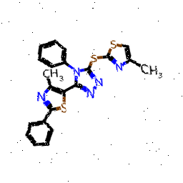 Cc1csc(Sc2nnc(-c3sc(-c4ccccc4)nc3C)n2-c2ccccc2)n1